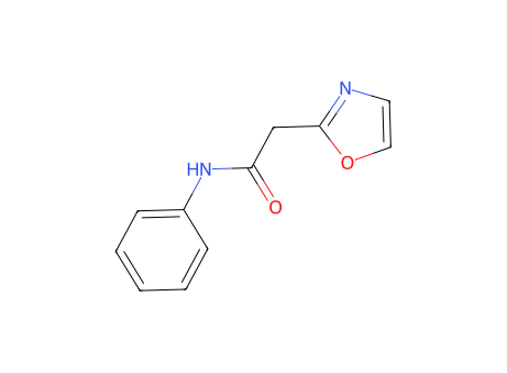 O=C(Cc1ncco1)Nc1ccccc1